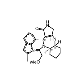 C=C(COC)N1[C@@H]2CCCC[C@H]2NC2=C(C(=O)NC2)[C@H]1c1cccc2cc(C)[nH]c12